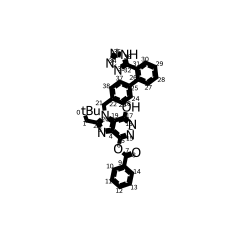 CC(C)(C)Cc1nc2c(OC(=O)c3ccccc3)nnc(O)c2n1Cc1ccc(-c2ccccc2-c2nnn[nH]2)cc1